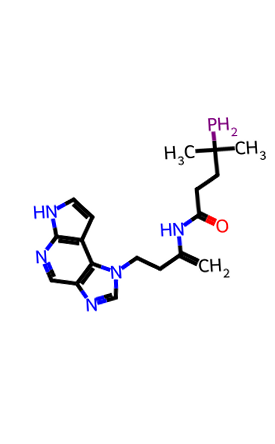 C=C(CCn1cnc2cnc3[nH]ccc3c21)NC(=O)CCC(C)(C)P